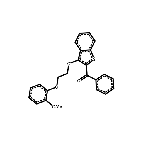 COc1ccccc1OCCOc1c(C(=O)c2ccccc2)sc2ccccc12